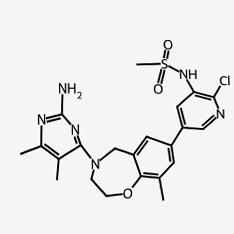 Cc1cc(-c2cnc(Cl)c(NS(C)(=O)=O)c2)cc2c1OCCN(c1nc(N)nc(C)c1C)C2